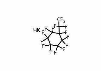 FC(F)(F)C(F)(F)C1(F)C(F)(F)C(F)(F)C(F)(F)C(F)(F)C1(F)F.[KH]